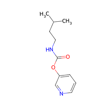 CC(C)CCNC(=O)Oc1cccnc1